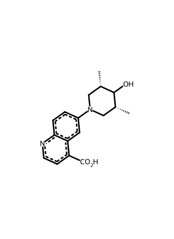 C[C@@H]1CN(c2ccc3nccc(C(=O)O)c3c2)C[C@H](C)C1O